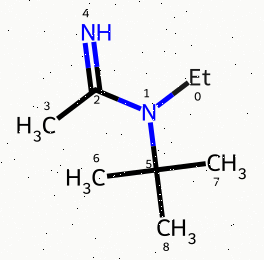 CCN(C(C)=N)C(C)(C)C